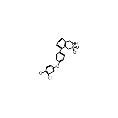 O=S1(=O)Cc2c(cccc2-c2ccc(Oc3ccc(Cl)c(Cl)c3)cc2)CN1